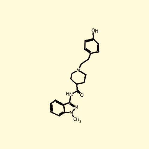 Cn1nc(NC(=O)C2CCN(CCc3ccc(O)cc3)CC2)c2ccccc21